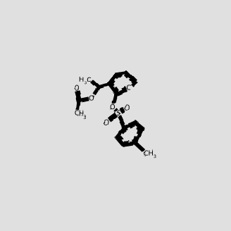 CC(=O)OC(C)c1ccccc1OS(=O)(=O)c1ccc(C)cc1